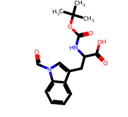 CC(C)(C)OC(=O)NC(Cc1cn(C=O)c2ccccc12)C(=O)O